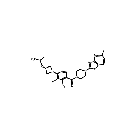 Cc1ccc2oc(N3CCN(C(=O)c4cnc(N5CC(OC(C)C(F)(F)F)C5)c(F)c4Cl)CC3)nc2n1